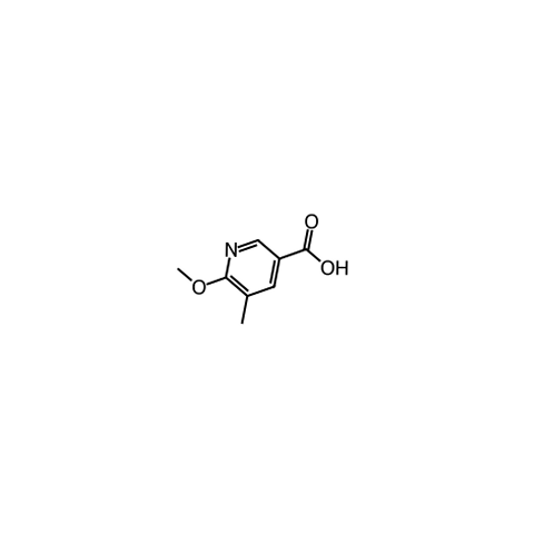 COc1ncc(C(=O)O)cc1C